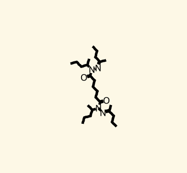 CCCC(C)=NN(C(=O)CCCCC(=O)N(N=C(C)CCC)C(C)CCC)C(C)CCC